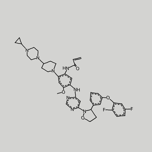 C=CC(=O)Nc1cc(Nc2cc(N3OCCC3c3cccc(Oc4cc(F)ccc4F)c3)ncn2)c(OC)cc1N1CCC(N2CCN(C3CC3)CC2)CC1